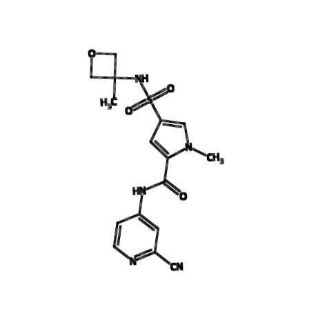 Cn1cc(S(=O)(=O)NC2(C)COC2)cc1C(=O)Nc1ccnc(C#N)c1